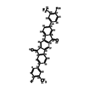 O=c1c2cc(-c3ccc(F)c(C(F)(F)F)c3)ccc2c2cc3c(=O)c4cc(-c5ccc(F)c(C(F)(F)F)c5)ccc4c3cc12